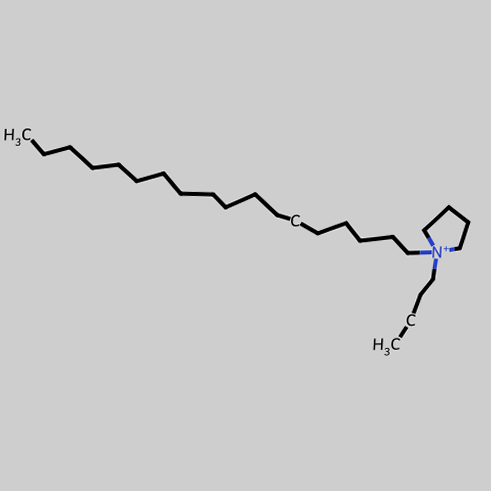 CCCCCCCCCCCCCCCCCC[N+]1(CCCC)CCCC1